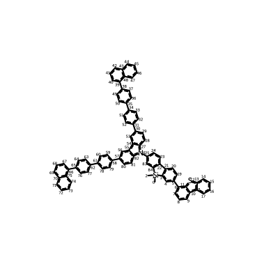 C[Si]1(C)c2cc(-c3cccc4c3sc3ccccc34)ccc2-c2ccc(-n3c4ccc(-c5ccc(-c6ccc(-c7cccc8ccccc78)cc6)cc5)cc4c4cc(-c5ccc(-c6ccc(-c7cccc8ccccc78)cc6)cc5)ccc43)cc21